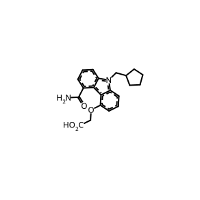 NC(=O)c1cccc2c1c1c(OCC(=O)O)cccc1n2CC1CCCC1